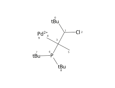 CC(C)(C)C(Cl)C(C)(C)P(C(C)(C)C)C(C)(C)C.[Pd+2]